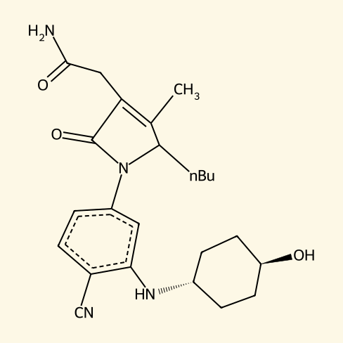 CCCCC1C(C)=C(CC(N)=O)C(=O)N1c1ccc(C#N)c(N[C@H]2CC[C@H](O)CC2)c1